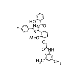 COc1c(OCC(=O)Nc2cc(C)cc(C)n2)cccc1C1SC(c2ccc(F)cc2)=NN1C(=O)c1ccccc1O